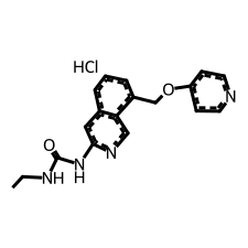 CCNC(=O)Nc1cc2cccc(COc3ccncc3)c2cn1.Cl